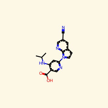 CC(C)Nc1cc(-n2ccc3cc(C#N)cnc32)ncc1C(=O)O